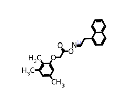 Cc1cc(C)c(C)c(OCC(=O)O/N=C/Cc2cccc3ccccc23)c1